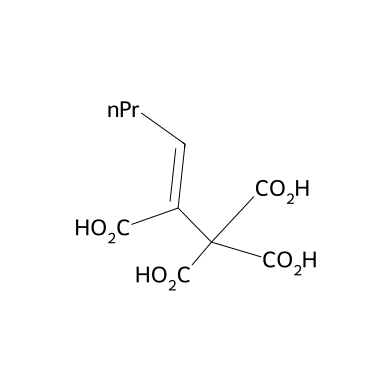 CCC/C=C(\C(=O)O)C(C(=O)O)(C(=O)O)C(=O)O